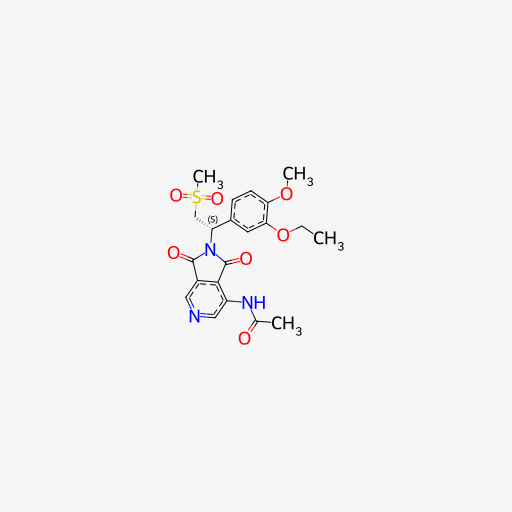 CCOc1cc([C@@H](CS(C)(=O)=O)N2C(=O)c3cncc(NC(C)=O)c3C2=O)ccc1OC